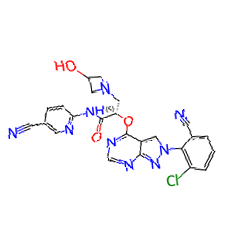 N#Cc1ccc(NC(=O)[C@H](CN2CC(O)C2)Oc2ncnc3nn(-c4c(Cl)cccc4C#N)cc23)nc1